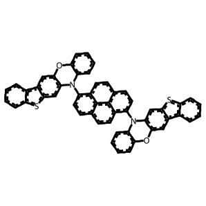 c1ccc2c(c1)Oc1cc3c(cc1N2c1ccc2ccc4c(N5c6ccccc6Oc6cc7c(cc65)sc5ccccc57)ccc5ccc1c2c54)sc1ccccc13